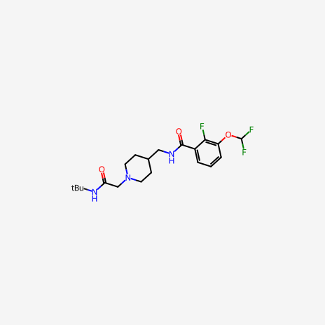 CC(C)(C)NC(=O)CN1CCC(CNC(=O)c2cccc(OC(F)F)c2F)CC1